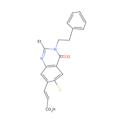 CCc1nc2cc(/C=C/C(=O)O)c(F)cc2c(=O)n1CCc1ccccc1